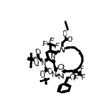 CCOC(=O)CN1CCC=CCCC(OCc2ccccc2)(C(F)(F)F)c2nnc(o2)-c2nc1c(C(F)(F)F)cc2N(C(=O)OC(C)(C)C)C(=O)OC(C)(C)C